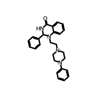 O=C1NC(c2ccccc2)N(CCN2CCN(c3ccccc3)CC2)c2ccccc21